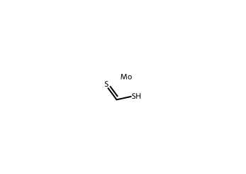 S=CS.[Mo]